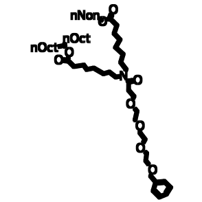 CCCCCCCCCOC(=O)CCCCCCCN(CCCCCCCC(=O)OC(CCCCCCCC)CCCCCCCC)C(=O)CCOCCOCCOCCOCc1ccccc1